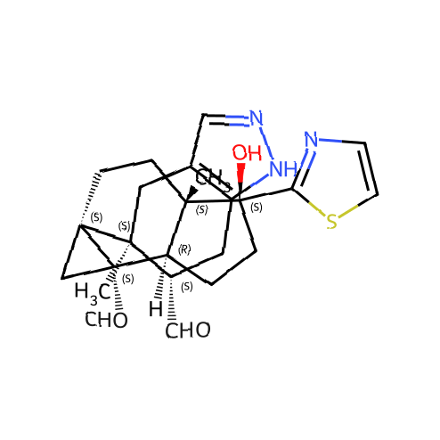 C[C@]1([C@@]23CC[C@@]4(C)[C@@H](CC[C@@]4(O)c4nccs4)[C@@]2(C=O)C3)Cc2cn[nH]c2C[C@@H]1C=O